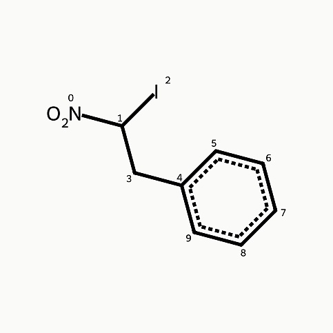 O=[N+]([O-])C(I)Cc1ccccc1